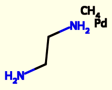 C.NCCN.[Pd]